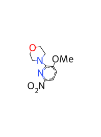 COc1ccc([N+](=O)[O-])nc1N1CCOCC1